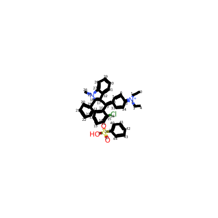 CC[N+](CC)=C1C=CC(=C(c2ccccc2Cl)c2c(-c3ccccc3)n(C)c3ccccc23)C=C1.O=S(=O)(O)c1ccccc1